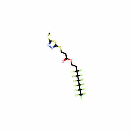 CSc1nnc(SCCC(=O)OCCC(F)(F)C(F)(F)C(F)(F)C(F)(F)C(F)(F)C(F)(F)F)s1